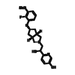 COc1cccc(O[C@H]2C[C@@H]3CN(CC(O)c4ccc(O)cn4)C[C@@H]3C2)c1F